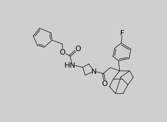 O=C(NC1CN(C(=O)CC2(c3ccc(F)cc3)C3CC4CC(C3)CC2C4)C1)OCc1ccccc1